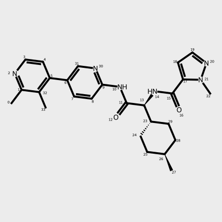 Cc1nccc(-c2ccc(NC(=O)[C@@H](NC(=O)c3ccnn3C)[C@H]3CC[C@H](C)CC3)nc2)c1C